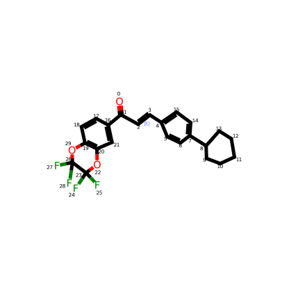 O=C(/C=C/c1ccc(C2CCCCC2)cc1)c1ccc2c(c1)OC(F)(F)C(F)(F)O2